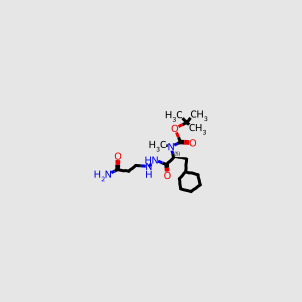 CN(C(=O)OC(C)(C)C)[C@@H](CC1CCCCC1)C(=O)NNCCC(N)=O